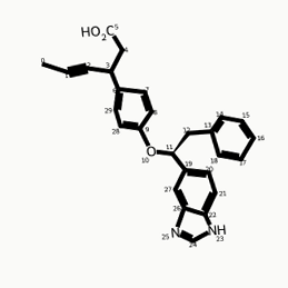 CC#CC(CC(=O)O)c1ccc(O[C@@H](Cc2ccccc2)c2ccc3[nH]cnc3c2)cc1